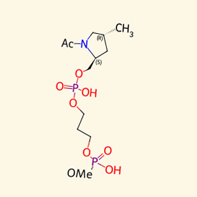 COP(=O)(O)OCCCOP(=O)(O)OC[C@@H]1C[C@@H](C)CN1C(C)=O